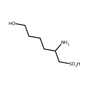 NC(CCCCO)CS(=O)(=O)O